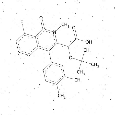 Cc1ccc(-c2c(C(OC(C)(C)C)C(=O)O)n(C)c(=O)c3c(F)cccc23)cc1C